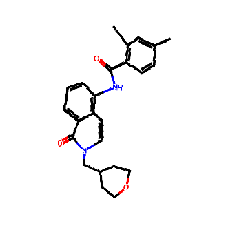 Cc1ccc(C(=O)Nc2cccc3c(=O)n(CC4CCOCC4)ccc23)c(C)c1